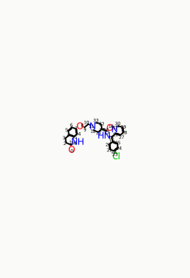 O=C1CCc2ccc(OCCN3CCC(C(=O)N[C@@H](c4ccc(Cl)cc4)c4ccccn4)CC3)cc2N1